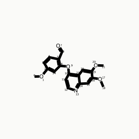 COc1ccc(C=O)c(Oc2ccnc3cc(OC)c(OC)cc23)c1